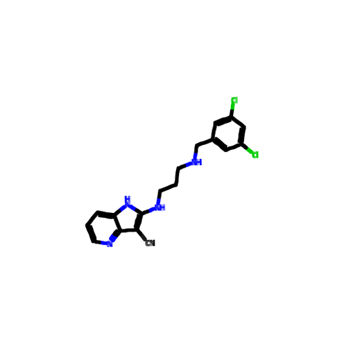 N#Cc1c(NCCCNCc2cc(Cl)cc(Cl)c2)[nH]c2cccnc12